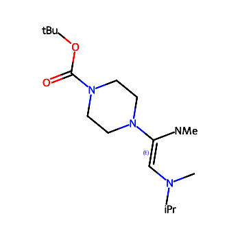 CN/C(=C\N(C)C(C)C)N1CCN(C(=O)OC(C)(C)C)CC1